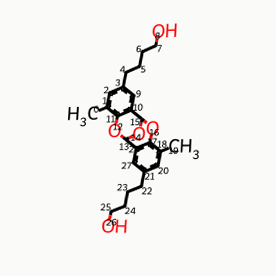 Cc1cc(CCCCO)cc2c1OC1OC2Oc2c(C)cc(CCCCO)cc21